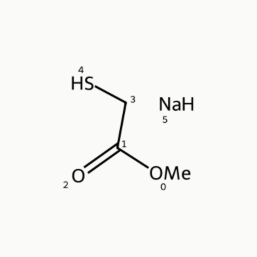 COC(=O)CS.[NaH]